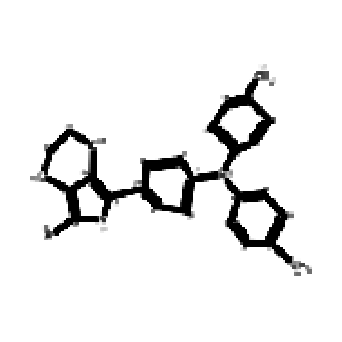 Cc1ccc(N(c2ccc(C)cc2)c2ccc(-c3sc(Br)c4c3OCCO4)cc2)cc1